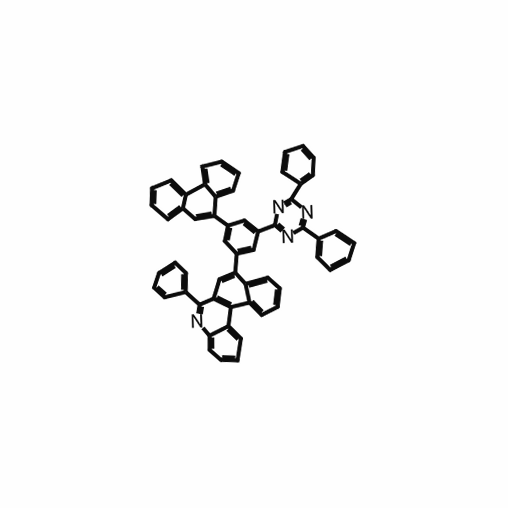 c1ccc(-c2nc(-c3ccccc3)nc(-c3cc(-c4cc5ccccc5c5ccccc45)cc(-c4cc5c(-c6ccccc6)nc6ccccc6c5c5ccccc45)c3)n2)cc1